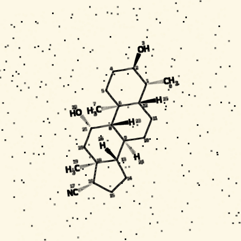 C[C@H]1[C@H](O)CC[C@]2(C)[C@@H]3[C@@H](CC[C@@H]12)[C@@H]1CC[C@H](C#N)[C@@]1(C)C[C@@H]3O